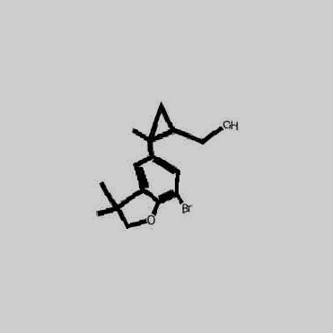 CC1(C)COc2c(Br)cc(C3(C)CC3CO)cc21